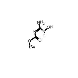 CC(C)(C)OC(=O)N=C(N)NO